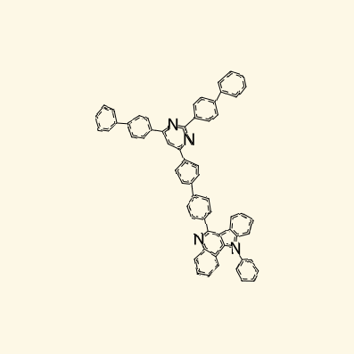 c1ccc(-c2ccc(-c3cc(-c4ccc(-c5ccc(-c6nc7ccccc7c7c6c6ccccc6n7-c6ccccc6)cc5)cc4)nc(-c4ccc(-c5ccccc5)cc4)n3)cc2)cc1